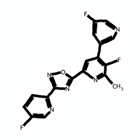 Cc1nc(-c2nc(-c3ccc(F)cn3)no2)cc(-c2cncc(F)c2)c1F